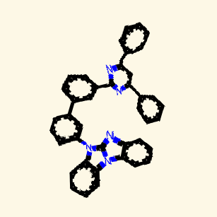 c1ccc(-c2cc(-c3ccccc3)nc(-c3cccc(-c4cccc(-n5c6ccccc6n6c7ccccc7nc56)c4)c3)n2)cc1